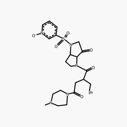 CC(C)CC(CC(=O)N1CCN(C)CC1)C(=O)N1CCC2C1C(=O)CN2S(=O)(=O)c1ccc[n+]([O-])c1